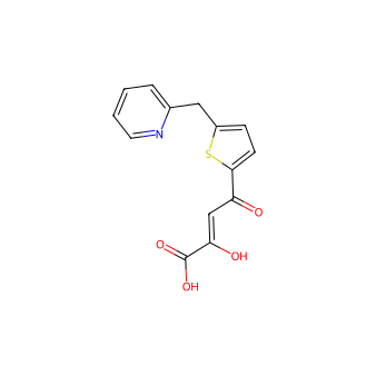 O=C(O)C(O)=CC(=O)c1ccc(Cc2ccccn2)s1